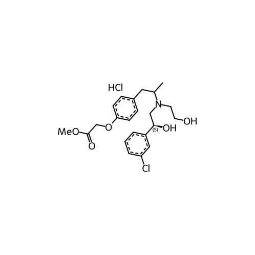 COC(=O)COc1ccc(CC(C)N(CCO)C[C@@H](O)c2cccc(Cl)c2)cc1.Cl